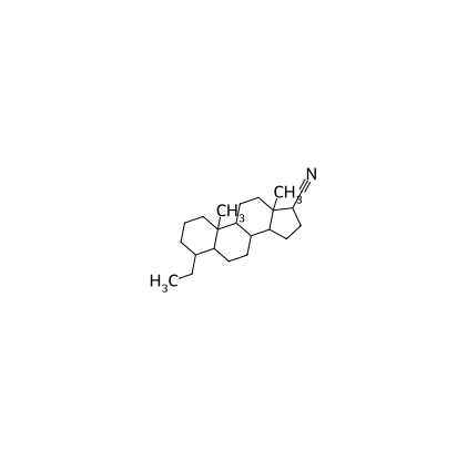 CCC1CCCC2(C)C1CCC1C3CCC(C#N)C3(C)CCC12